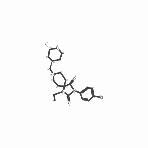 CCN1C(=O)N(c2ccc(Cl)cc2)C(=O)C12CCN(C[C@@H]1CCO[C@@H](C)C1)CC2